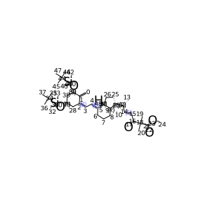 C=C1/C(=C\C=C2/CCC[C@]3(C)[C@@H]([C@H](C)/C=C/C(=O)C(C)(C)C(=O)OC)CC[C@@H]23)C[C@@H](O[Si](C)(C)C(C)(C)C)C[C@@H]1O[Si](C)(C)C(C)(C)C